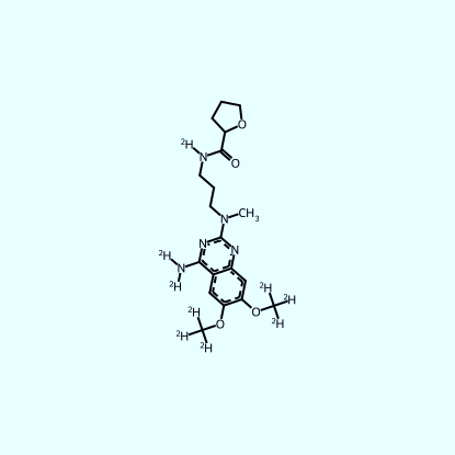 [2H]N(CCCN(C)c1nc(N([2H])[2H])c2cc(OC([2H])([2H])[2H])c(OC([2H])([2H])[2H])cc2n1)C(=O)C1CCCO1